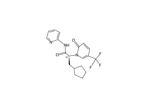 O=C(Nc1ccccn1)[C@H](CC1CCCC1)n1cc(C(F)(F)F)ccc1=O